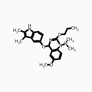 CCCOC1=NC(Oc2ccc3[nH]c(C)c(C)c3c2)c2cc(OC)ccc2N1N(C)C